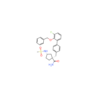 CS(=O)(=O)N[C@H]1CC[C@](Cc2ccc(-c3cccc(F)c3OCc3ccccc3)cc2)(C(N)=O)C1